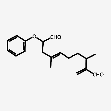 C=C(C=O)C(C)CCC=C(C)CC(C=O)Oc1ccccc1